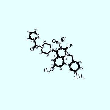 Cc1ccc(Cn2c(=O)c([N+](=O)[O-])c(N3CCN(C(=O)c4cccs4)CC3)c3cc(C)ccc32)cc1